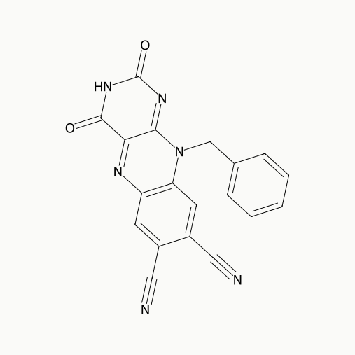 N#Cc1cc2nc3c(=O)[nH]c(=O)nc-3n(Cc3ccccc3)c2cc1C#N